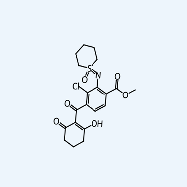 COC(=O)c1ccc(C(=O)C2=C(O)CCCC2=O)c(Cl)c1N=S1(=O)CCCCC1